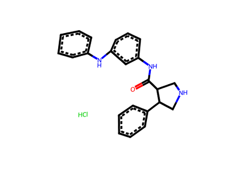 Cl.O=C(Nc1cccc(Nc2ccccc2)c1)C1CNCC1c1ccccc1